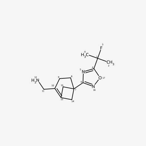 CC(C)(F)c1nc(C23CCC(CN)=C(C2)C3)no1